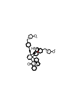 COC1CCN(Cc2ccc(C#CC3(C#Cc4ccc(CN5CCC(OC)C5)cc4)C=CC=C(C(O)C(=O)c4ccccc4)C3(c3ccc4cc[nH]c4c3)c3ccc4cc[nH]c4c3)cc2)C1